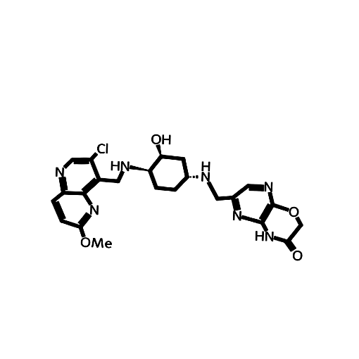 COc1ccc2ncc(Cl)c(CN[C@@H]3CC[C@@H](NCc4cnc5c(n4)NC(=O)CO5)C[C@@H]3O)c2n1